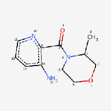 CC1COCCN1C(=O)c1ncccc1N